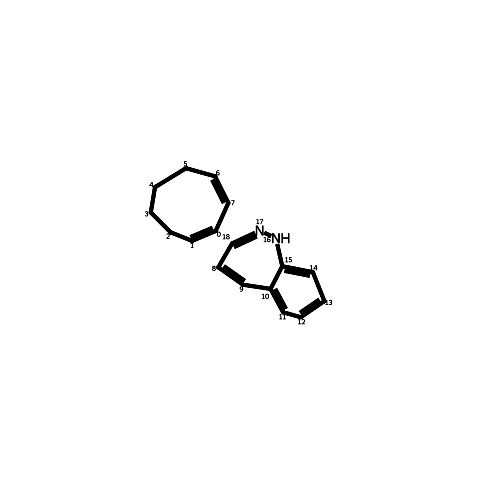 C1=CCCCCC=C1.C1=Cc2ccccc2NN=C1